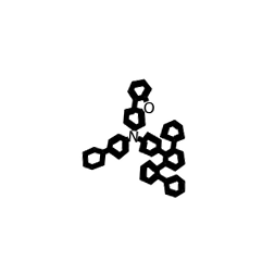 c1ccc(-c2ccccc2-c2cccc(-c3ccccc3)c2-c2ccc(N(c3ccc(C4CCCCC4)cc3)c3ccc4c(c3)oc3ccccc34)cc2)cc1